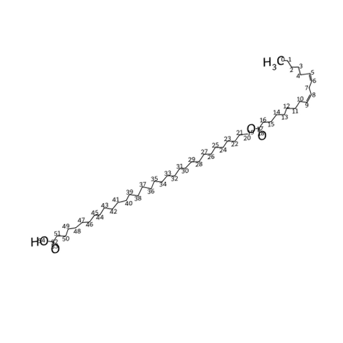 CCCCC/C=C\C/C=C\CCCCCCCC(=O)OCCCCCCCCCCCCCCCCCCCCCCCCCCCCCCCCC(=O)O